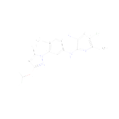 COc1nc(Nc2ccc(C#N)c(-n3nc(OC(F)F)cc3C)c2)c(N)cc1Br